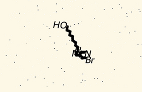 OCCCCCCCCCn1ncc2cc(Br)ncc21